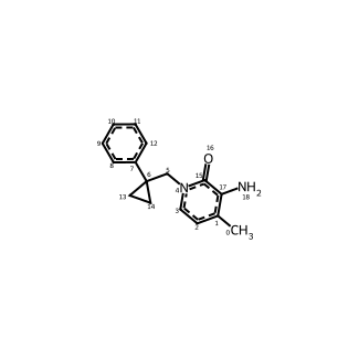 Cc1ccn(CC2(c3ccccc3)CC2)c(=O)c1N